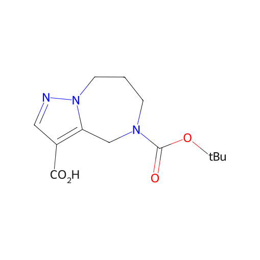 CC(C)(C)OC(=O)N1CCCn2ncc(C(=O)O)c2C1